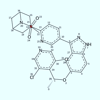 C[C@@H](Oc1ccc2[nH]nc(-c3ccc(N4CC5CC(C4)N5S(C)(=O)=O)nc3)c2c1)c1c(Cl)cncc1Cl